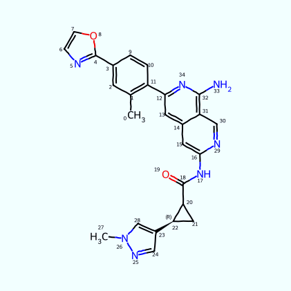 Cc1cc(-c2ncco2)ccc1-c1cc2cc(NC(=O)C3C[C@H]3c3cnn(C)c3)ncc2c(N)n1